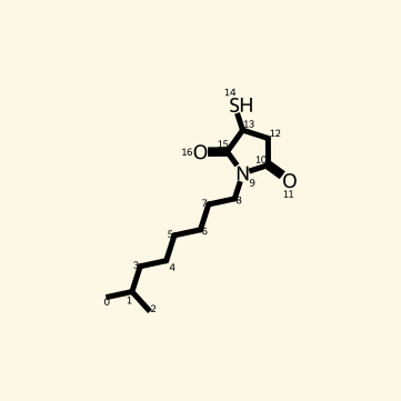 CC(C)CCCCCCN1C(=O)CC(S)C1=O